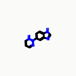 C1=CNN(c2ccc3[nH]cnc3c2)N=C1